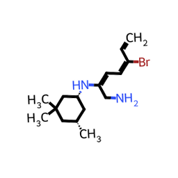 C=C/C(Br)=C\C=C(/CN)N[C@@H]1C[C@H](C)CC(C)(C)C1